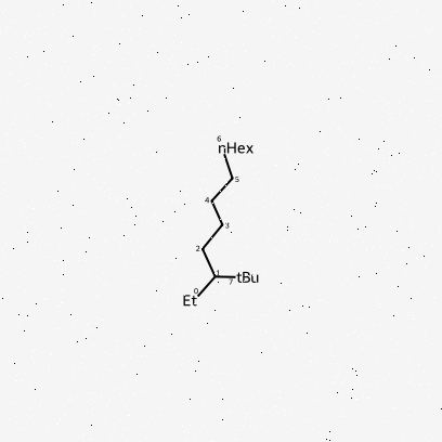 [CH2]CC(CCCCCCCCCC)C(C)(C)C